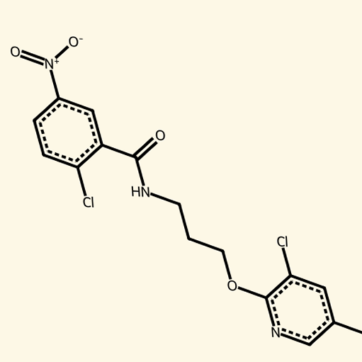 O=C(NCCCOc1ncc(Cl)cc1Cl)c1cc([N+](=O)[O-])ccc1Cl